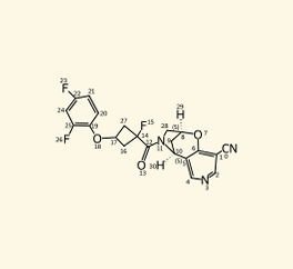 N#Cc1cncc2c1O[C@H]1C[C@@H]2N(C(=O)C2(F)CC(Oc3ccc(F)cc3F)C2)C1